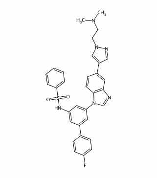 CN(C)CCn1cc(-c2ccc3c(c2)ncn3-c2cc(NS(=O)(=O)c3ccccc3)cc(-c3ccc(F)cc3)c2)cn1